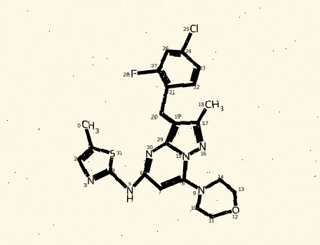 Cc1cnc(Nc2cc(N3CCOCC3)n3nc(C)c(Cc4ccc(Cl)cc4F)c3n2)s1